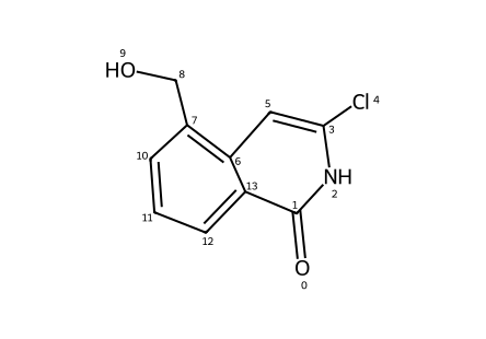 O=c1[nH]c(Cl)cc2c(CO)cccc12